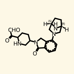 O=CC(=O)C1CCC(N2Cc3c(cccc3N3C[C@H]4CC[C@@H](C3)N4)C2=O)CN1